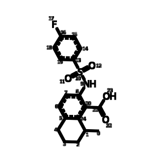 CC1CCCc2ccc(NS(=O)(=O)c3ccc(F)cc3)c(C(=O)O)c21